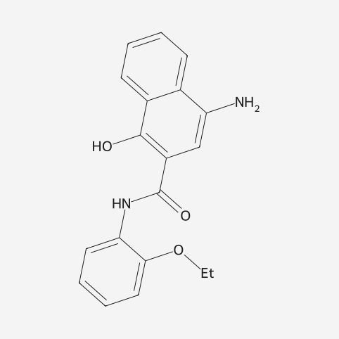 CCOc1ccccc1NC(=O)c1cc(N)c2ccccc2c1O